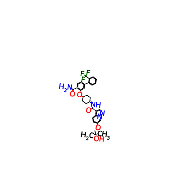 CC(C)(O)COc1ccc2c(C(=O)NC3CCC(Oc4cc(-c5ccccc5C(F)(F)F)ccc4C(N)=O)CC3)cnn2c1